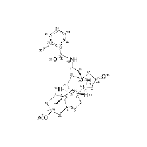 CC(=O)O[C@H]1CC[C@@]2(C)C(=CC[C@H]3[C@@H]4CC(=O)C[C@@]4(CCNC(=O)c4ccccc4I)CC[C@@H]32)C1